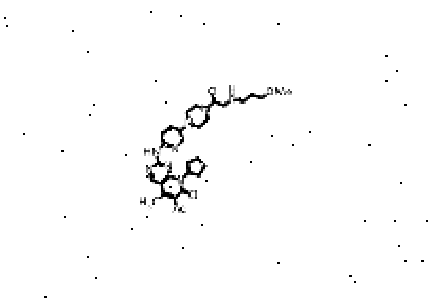 COCCCNCC(=O)N1CCN(c2ccc(Nc3ncc4c(C)c(C(C)=O)c(=O)n(C5CCCC5)c4n3)nc2)CC1